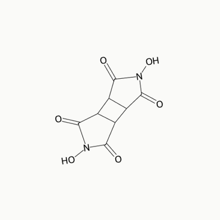 O=C1C2C(C(=O)N1O)C1C(=O)N(O)C(=O)C21